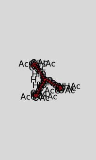 CC(=O)NC1C(OCCOCCOCCNC(=O)CCOCC(N)(COCCC(=O)NCCOCCOCCOC2OC(COC(C)=O)C(OC(C)=O)C(OC(C)=O)C2NC(C)=O)COCCC(=O)NCCOCCOCCOC2OC(COC(C)=O)C(OC(C)=O)C(OC(C)=O)[C@@H]2NC(C)=O)OC(COC(C)=O)C(OC(C)=O)C1OC(C)=O